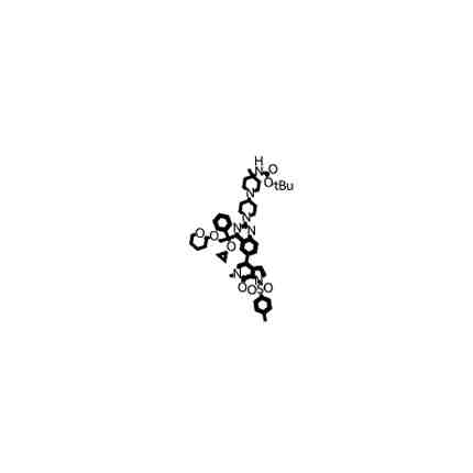 Cc1ccc(S(=O)(=O)n2ccc3c(-c4ccc5nc(N6CCC(N7CCC(C)(NC(=O)OC(C)(C)C)CC7)CC6)nc(C(COC6CCCCO6)(OC6CC6)c6ccccc6)c5c4)cn(C)c(=O)c32)cc1